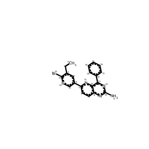 CCc1cc(-c2ccc3nc(N)nc(-c4ccccc4)c3n2)cnc1Br